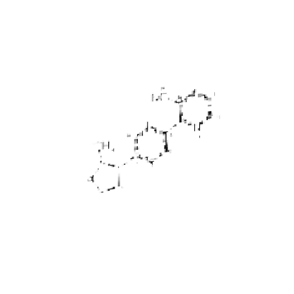 CN1CCCC1c1ccc(-c2ncccc2C#N)cc1